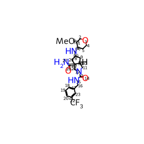 CO[C@@H]1COCC[C@@H]1N[C@@H]1C[C@H]2CN(C(=O)NCc3cccc(C(F)(F)F)c3)C[C@@]2(C(N)=O)C1